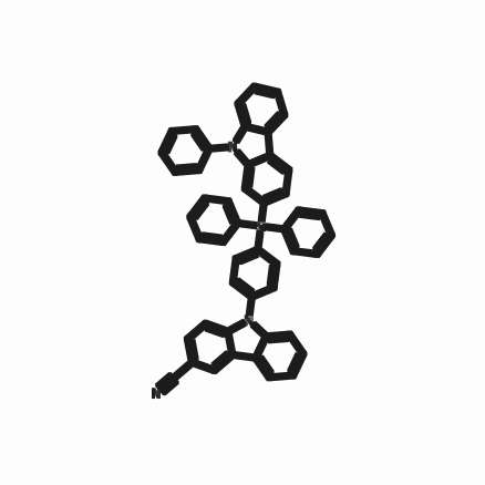 N#Cc1ccc2c(c1)c1ccccc1n2-c1ccc([Si](c2ccccc2)(c2ccccc2)c2ccc3c4ccccc4n(-c4ccccc4)c3c2)cc1